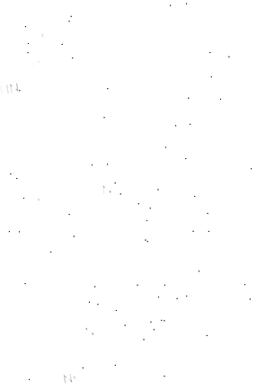 CN(C(=O)C1CCC(=O)NC1)c1cc2c(c(-c3ccccc3)c1)CN(C#N)C2